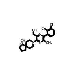 Cc1nc(N2CCC3(CCC[C@H]3C)CC2)c(CO)nc1-c1cccc(Cl)c1Cl